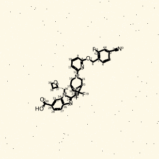 N#Cc1ccc(COc2cccc(N3CC4CC(F)(F)C(C3)N4Cc3nc4ccc(C(=O)O)cc4n3C[C@@H]3CCO3)n2)c(F)c1